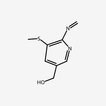 C=Nc1ncc(CO)cc1SC